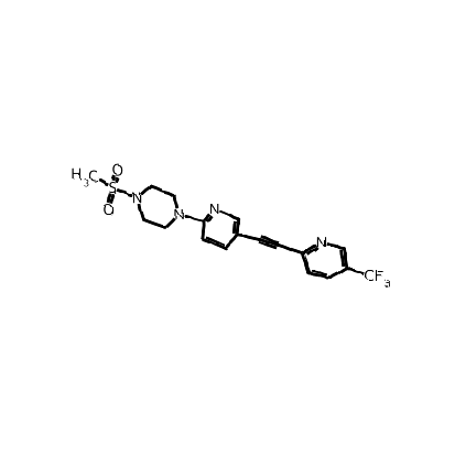 CS(=O)(=O)N1CCN(c2ccc(C#Cc3ccc(C(F)(F)F)cn3)cn2)CC1